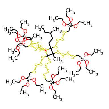 CCO[Si](CSSSSC(CCC(C)CC)(SSSSC[Si](OCC)(OCC)OCC)C(C)(SSSSC[Si](OCC)(OCC)OCC)C(SSSSC[Si](OCC)(OCC)OCC)(SSSSC[Si](OCC)(OCC)OCC)SSSSC[Si](OCC)(OCC)OCC)(OCC)OCC